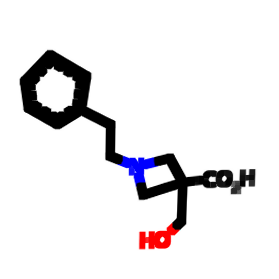 O=C(O)C1(CO)CN(CCc2ccccc2)C1